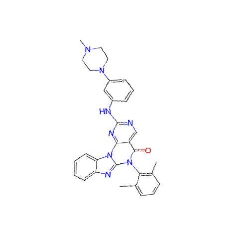 Cc1cccc(C)c1-n1c(=O)c2cnc(Nc3cccc(N4CCN(C)CC4)c3)nc2n2c3ccccc3nc12